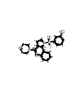 O=S(=O)(c1cccc(Cl)c1)n1ccc2c(N3CCOCC3)nc3ccccc3c21